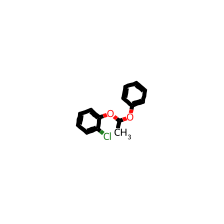 CC(Oc1ccccc1)Oc1ccccc1Cl